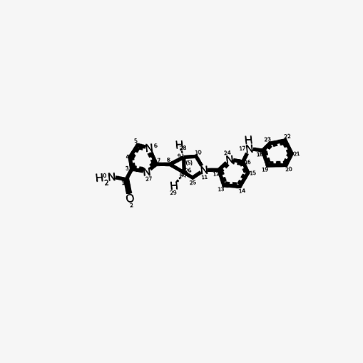 NC(=O)c1ccnc(C2[C@H]3CN(c4cccc(Nc5ccccc5)n4)C[C@@H]23)n1